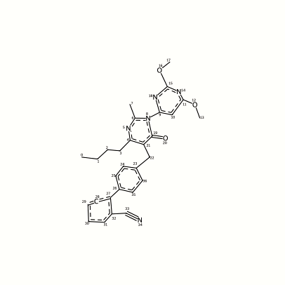 CCCCc1nc(C)n(-c2cc(OC)nc(OC)n2)c(=O)c1Cc1ccc(-c2ccccc2C#N)cc1